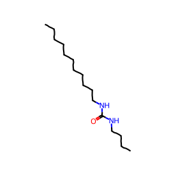 CCCCCCCCCCCNC(=O)NCCCC